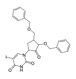 O=C1C(OCc2ccccc2)C(COCc2ccccc2)CC1n1cc(I)c(=O)[nH]c1=O